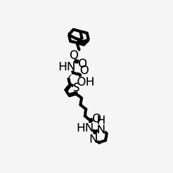 O=C(CCCCc1ccc(C[C@H](NC(=O)OCC23CC4CC(CC(C4)C2)C3)C(=O)O)s1)NC1=NCCCN1